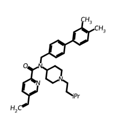 C=Cc1ccc(C(=O)N(Cc2ccc(-c3ccc(C)c(C)c3)cc2)C2CCN(CCC(C)C)CC2)nc1